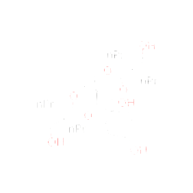 CCCC(CO)(CCC)C1OCC2(CO1)COC(C(CO)(CCC)CCC)OC2C1(O)CCC(O)CC1